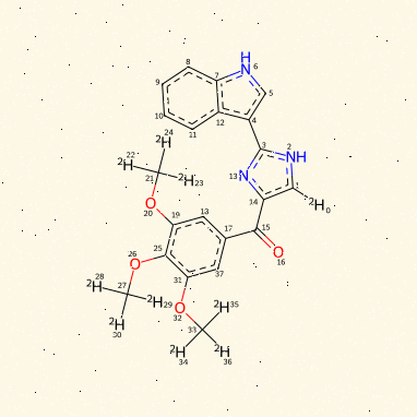 [2H]c1[nH]c(-c2c[nH]c3ccccc23)nc1C(=O)c1cc(OC([2H])([2H])[2H])c(OC([2H])([2H])[2H])c(OC([2H])([2H])[2H])c1